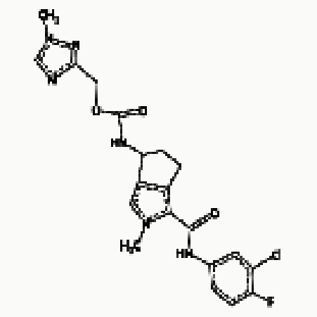 Cn1cnc(COC(=O)NC2CCc3c2cn(C)c3C(=O)Nc2ccc(F)c(Cl)c2)n1